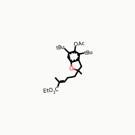 CCOC(=O)C(C)=CCCC1(C)Cc2c(cc(C(C)(C)C)c(OC(C)=O)c2C(C)(C)C)O1